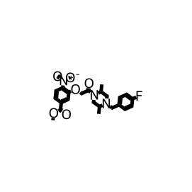 COC(=O)c1ccc([N+](=O)[O-])c(OCC(=O)N2CC(C)N(Cc3ccc(F)cc3)CC2C)c1